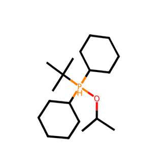 CC(C)O[PH](C1CCCCC1)(C1CCCCC1)C(C)(C)C